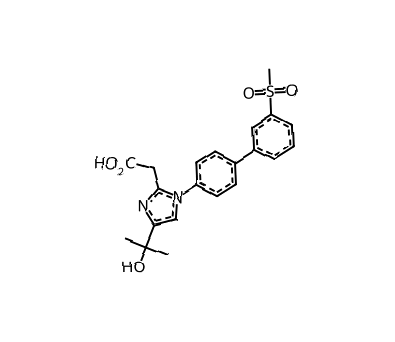 CC(C)(O)c1cn(-c2ccc(-c3cccc(S(C)(=O)=O)c3)cc2)c(CC(=O)O)n1